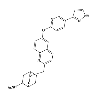 CC(=O)NC1CC2CCC1CN2Cc1ccc2cc(Oc3ccc(-c4cc[nH]n4)cn3)ccc2n1